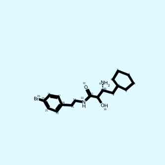 N[C@H](CC1CCCCC1)C(O)C(=O)NCCc1ccc(Br)cc1